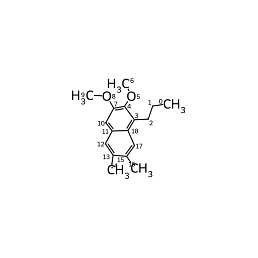 CCCc1c(OC)c(OC)cc2cc(C)c(C)cc12